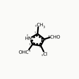 Cc1[nH]c(C=O)c(Cl)c1C=O